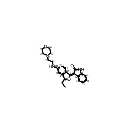 CCC1O/C(=C2/C(=O)Nc3ccccc32)c2cnc(NCCN3CCOCC3)cc21